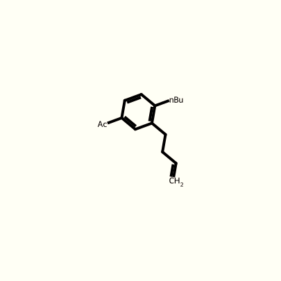 C=CCCc1cc(C(C)=O)ccc1CCCC